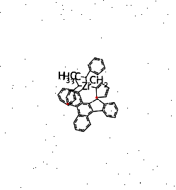 [CH2]=[Zr]([C]1=CC=CC1)([c]1cccc2c1c1c(c3ccccc32)-c2ccccc2C1)([CH](C)c1ccccc1)[CH](C)c1ccccc1